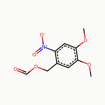 COc1cc(CO[C]=O)c([N+](=O)[O-])cc1OC